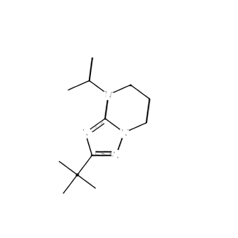 CC(C)N1CCCn2nc(C(C)(C)C)nc21